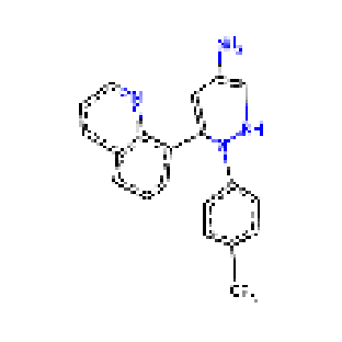 NC1=CNN(c2ccc(C(F)(F)F)cc2)C(c2cccc3cccnc23)=C1